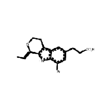 C/C=C1\OCCc2c1[nH]c1c(C(C)C)cc(CCC(=O)O)cc21